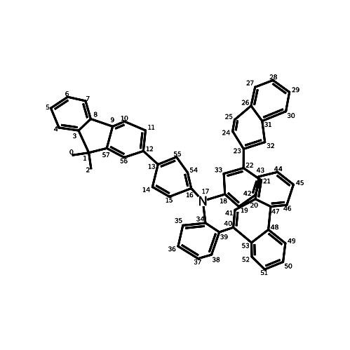 CC1(C)c2ccccc2-c2ccc(-c3ccc(N(c4cccc(-c5ccc6ccccc6c5)c4)c4ccccc4-c4cc5ccccc5c5ccccc45)cc3)cc21